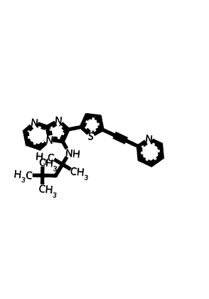 CC(C)(C)CC(C)(C)Nc1c(-c2ccc(C#Cc3ccccn3)s2)nc2ncccn12